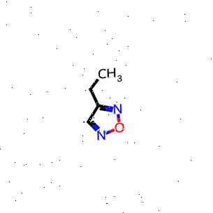 CCc1[c]non1